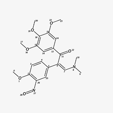 COc1ccc(C(=CN(C)C)C(=O)c2cc(OC)c(OC)c(OC)c2)cc1N=O